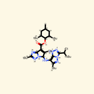 CCCCC(CC)c1n[nH]c2c(NC3C(C#N)=C(C(=O)OC4C(C(C)(C)C)CC(C)CC4C(C)(C)C)c4nc(C(C)(C)C)nn43)c(C(C)(C)C)nn12